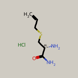 C=CCSC[C@H](N)C(N)=O.Cl